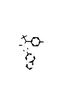 CN(C(c1ccc(Cl)cc1)C(F)(F)F)S(=O)(=O)c1cn2ccnc2cn1